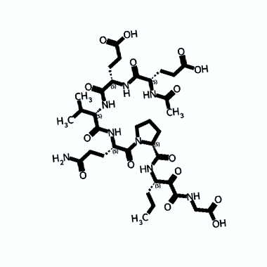 CCC[C@H](NC(=O)[C@@H]1CCCN1C(=O)[C@H](CCC(N)=O)NC(=O)[C@@H](NC(=O)[C@H](CCC(=O)O)NC(=O)[C@H](CCC(=O)O)NC(C)=O)C(C)C)C(=O)C(=O)NCC(=O)O